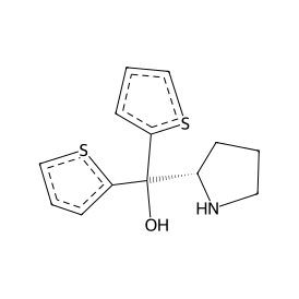 OC(c1cccs1)(c1cccs1)[C@@H]1CCCN1